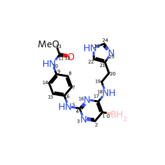 Bc1cnc(Nc2ccc(NC(=O)OC)cc2)nc1NCCc1c[nH]cn1